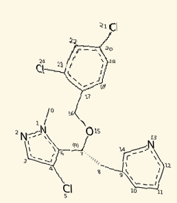 Cn1ncc(Cl)c1[C@@H](Cc1cccnc1)OCc1ccc(Cl)cc1Cl